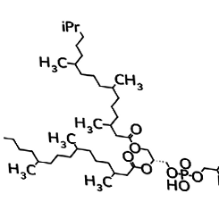 CC(=O)[C@@H](N)COP(=O)(O)OC[C@@H](COC(=O)CC(C)CCCC(C)CCCC(C)CCCC(C)C)OC(=O)CC(C)CCCC(C)CCCC(C)CCCC(C)C